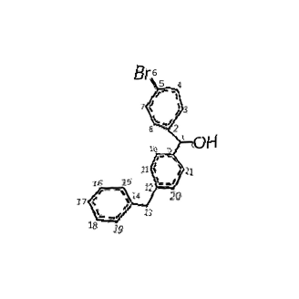 OC(c1ccc(Br)cc1)c1ccc(Cc2ccccc2)cc1